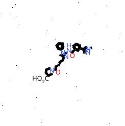 Cn1cc(-c2cccc(C(=O)Nc3nc(CCCCC(=O)N4CCC[C@H](C(=O)O)C4)cn3-c3ccccc3)c2)cn1